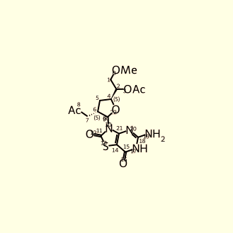 COCC(OC(C)=O)[C@@H]1C[C@@H](CC(C)=O)[C@H](n2c(=O)sc3c(=O)[nH]c(N)nc32)O1